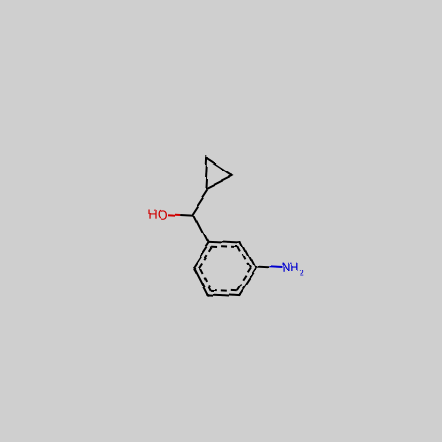 Nc1cccc(C(O)C2CC2)c1